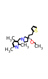 CCOC[C@]1(CCc2cccs2)CCN(Cc2c(C)cc(C)nc2C)C1